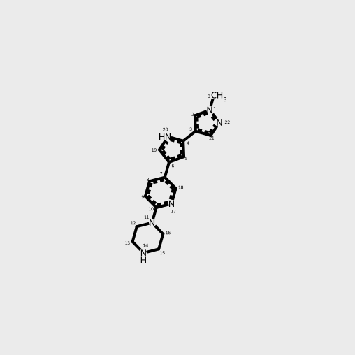 Cn1cc(-c2cc(-c3ccc(N4CCNCC4)nc3)c[nH]2)cn1